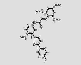 COc1cc(OC)c(/C=C/C(=O)Nc2ccc(OC)c(N/C=C\C(=O)c3ccc(C)cc3)c2)c(OC)c1